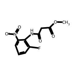 COC(=O)CC(=O)Nc1c(F)cccc1[N+](=O)[O-]